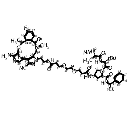 CC[C@@H](NC(=O)[C@@H]1C[C@H](NC(=O)CCOCCOCCC(=O)NCCn2nc(C#N)c3c2CN(C)C(=O)c2ccc(F)cc2[C@@H](C)Oc2nc-3cnc2N)CN1C(=O)[C@@H](NC(=O)[C@H](C)NC)C(C)(C)C)c1ccccc1